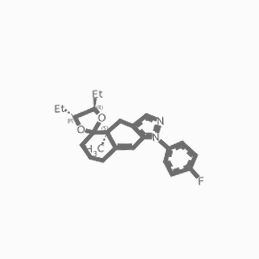 CC[C@H]1OC2(CCCC3=Cc4c(cnn4-c4ccc(F)cc4)C[C@@]32C)O[C@@H]1CC